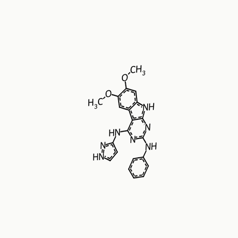 COc1cc2[nH]c3nc(Nc4ccccc4)nc(Nc4cc[nH]n4)c3c2cc1OC